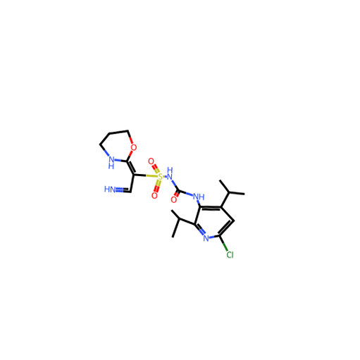 CC(C)c1cc(Cl)nc(C(C)C)c1NC(=O)NS(=O)(=O)/C(C=N)=C1/NCCCO1